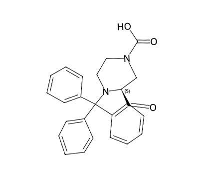 O=C[C@@H]1CN(C(=O)O)CCN1C(c1ccccc1)(c1ccccc1)c1ccccc1